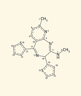 CNC1=Nc2nc(C)ccc2C(c2cccs2)=NC1c1cccs1